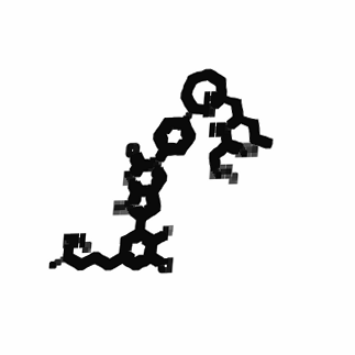 CCC[C@H](C[C@@H]1CCCC[C@@H](c2ccc(-n3cc4cc(-c5cc(CCC[C@H](C)N)cc(Cl)c5F)[nH]c4nc3=O)cc2)N1)NC(=N)CN